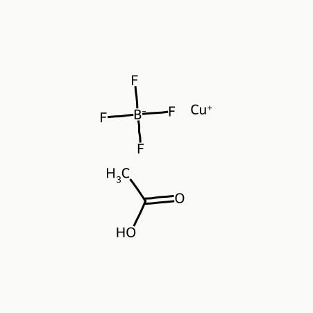 CC(=O)O.F[B-](F)(F)F.[Cu+]